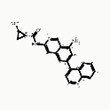 N#C[C@@H]1C[C@H]1C(=O)Nc1cc2cc(-c3ccnc4ccccc34)cc(N)c2cn1